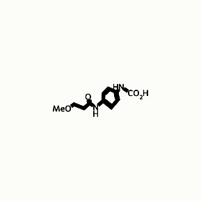 COCCC(=O)Nc1ccc(NC(=O)O)cc1